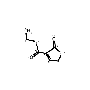 CCOC(=O)C1=CCOC1=O